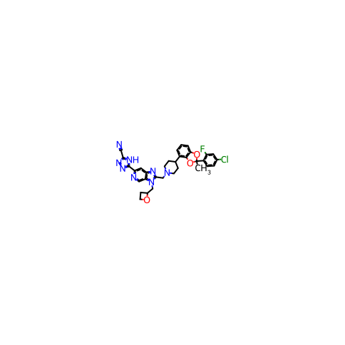 CC1(c2ccc(Cl)cc2F)Oc2cccc(C3CCN(Cc4nc5cc(-c6nnc(C#N)[nH]6)ncc5n4CC4CCO4)CC3)c2O1